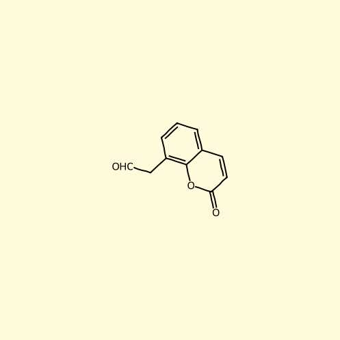 O=CCc1cccc2ccc(=O)oc12